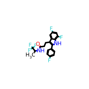 CC(NC(=O)CCc1c(-c2ccc(F)cc2)[nH]c2c(F)cc(F)cc12)C(F)(F)F